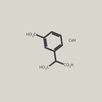 O=C(O)c1cccc(C(C(=O)O)C(=O)O)c1.[CsH]